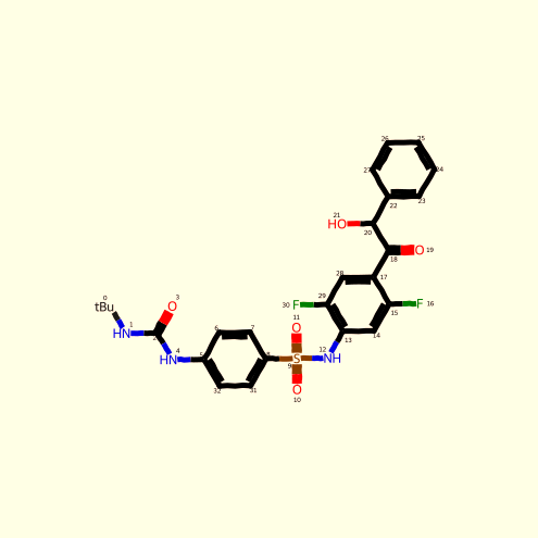 CC(C)(C)NC(=O)Nc1ccc(S(=O)(=O)Nc2cc(F)c(C(=O)C(O)c3ccccc3)cc2F)cc1